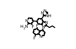 CCCc1nc2c(-c3nnc[nH]3)cc(-c3ccnc(N)c3F)cc2n1-c1ccnc2c(F)ccc(F)c12